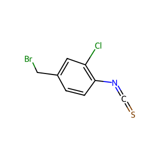 S=C=Nc1ccc(CBr)cc1Cl